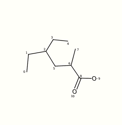 CCC(CC)CC(C)C([O])=O